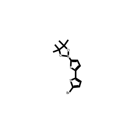 CC1(C)OB(c2ccc(-c3ccc(Br)s3)s2)OC1(C)C